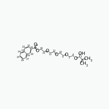 C=C(C)C(O)OCCOCCOCCOCCOC(=O)c1ccc2ccccc2c1